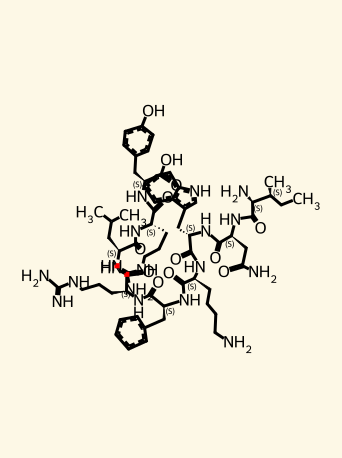 CC[C@H](C)[C@H](N)C(=O)N[C@@H](CC(N)=O)C(=O)N[C@@H](Cc1c[nH]c2ccccc12)C(=O)N[C@@H](CCCCN)C(=O)N[C@@H](Cc1ccccc1)C(=O)N[C@@H](CCCNC(=N)N)C(=O)N[C@@H](CC(C)C)C(=O)N[C@@H](CCCNC(=N)N)C(=O)N[C@@H](Cc1ccc(O)cc1)C(=O)O